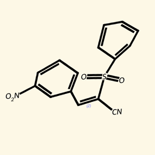 N#C/C(=C/c1cccc([N+](=O)[O-])c1)S(=O)(=O)c1ccccc1